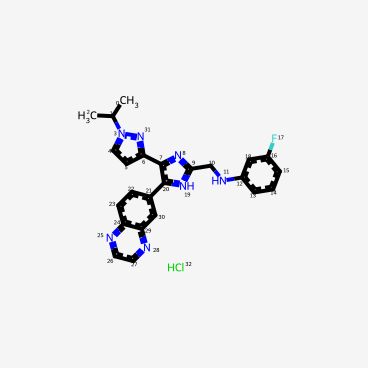 CC(C)n1ccc(-c2nc(CNc3cccc(F)c3)[nH]c2-c2ccc3nccnc3c2)n1.Cl